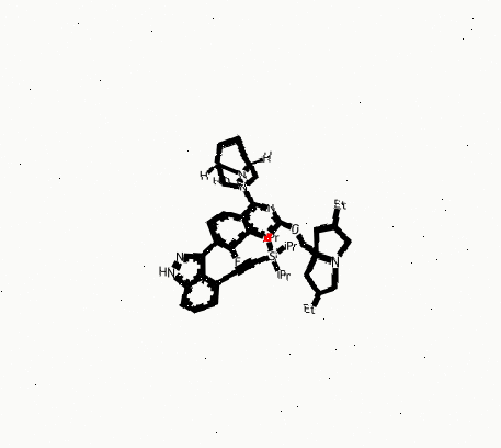 CCC1CN2CC(CC)CC2(COc2nc(N3C[C@H]4CC[C@@H](C3)N4C(=O)O)c3ccc(-c4n[nH]c5cccc(C#C[Si](C(C)C)(C(C)C)C(C)C)c45)c(F)c3n2)C1